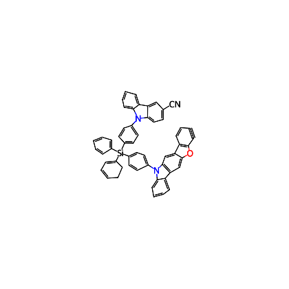 N#Cc1ccc2c(c1)c1ccccc1n2-c1ccc([Si](C2=CC=CCC2)(c2ccccc2)c2ccc(-n3c4ccccc4c4cc5oc6c#cccc6c5cc43)cc2)cc1